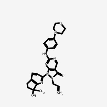 C=CCn1c(=O)c2cnc(Nc3ccc(N4CCOCC4)cc3)nc2n1-c1ccc2c(n1)C(C)(O)CC2